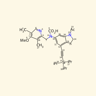 COc1c(C)cnc(CN(C(=O)O)c2cc(C#C[Si](C(C)C)(C(C)C)C(C)C)c3c(c2)N(C(C)=O)CC3)c1C